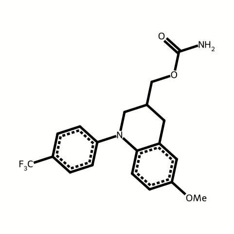 COc1ccc2c(c1)CC(COC(N)=O)CN2c1ccc(C(F)(F)F)cc1